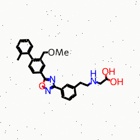 COCc1cc(-c2nc(-c3cccc(CCNCC(O)O)c3)no2)ccc1-c1ccccc1C